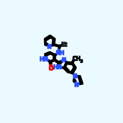 CCC(Nc1cc[nH]c(=O)c1-c1nc2c(C)cc(-n3ccnc3)cc2[nH]1)c1ccccn1